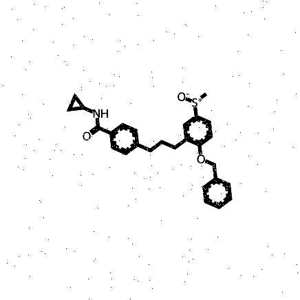 C[S+]([O-])c1ccc(OCc2ccccc2)c(CCCc2ccc(C(=O)NC3CC3)cc2)c1